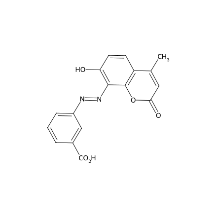 Cc1cc(=O)oc2c(N=Nc3cccc(C(=O)O)c3)c(O)ccc12